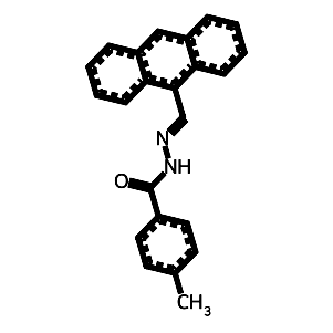 Cc1ccc(C(=O)N/N=C/c2c3ccccc3cc3ccccc23)cc1